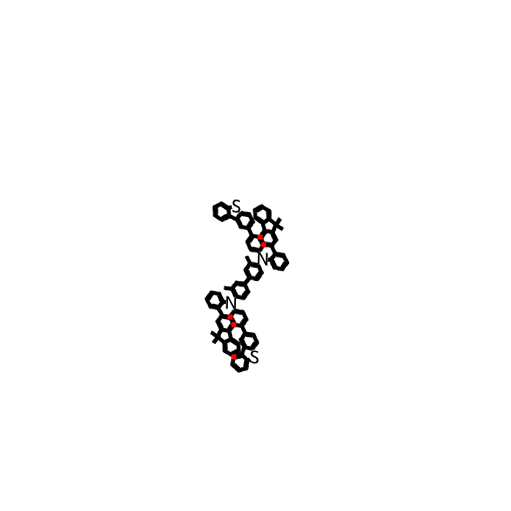 Cc1cc(-c2ccc(N(c3ccc(-c4ccc5sc6ccccc6c5c4)cc3)c3ccccc3-c3ccc4c(c3)C(C)(C)c3ccccc3-4)c(C)c2)ccc1N(c1ccc(-c2ccc3sc4ccccc4c3c2)cc1)c1ccccc1-c1ccc2c(c1)C(C)(C)c1ccccc1-2